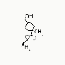 C=CCOC(=O)C1(C)CCC(CO)CC1